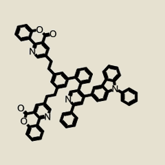 O=c1oc2ccccc2c2ncc(CCc3cc(CCc4cnc5c(c4)c(=O)oc4ccccc45)cc(-c4ccccc4-c4cnc(-c5ccccc5)cc4-c4ccc5c(c4)c4ccccc4n5-c4ccccc4)c3)cc12